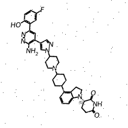 Nc1nnc(-c2cc(F)ccc2O)cc1-c1cnn(C2CCN(C3CCC(c4cccc5c4CCN5[C@H]4CCC(=O)NC4=O)CC3)CC2)c1